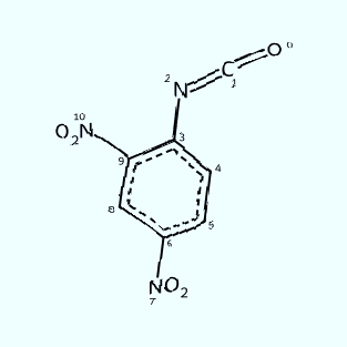 O=C=Nc1ccc([N+](=O)[O-])cc1[N+](=O)[O-]